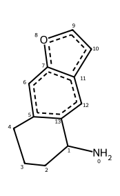 NC1CCCc2cc3occc3cc21